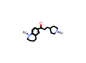 CC(=O)N1CCC(CCC(=O)c2ccc3c(c2)CCCCN3C(C)=O)CC1